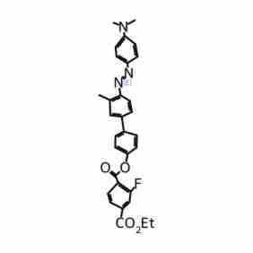 CCOC(=O)c1ccc(C(=O)Oc2ccc(-c3ccc(/N=N/c4ccc(N(C)C)cc4)c(C)c3)cc2)c(F)c1